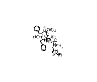 CC(C)c1nc(CN(C)C(=O)N[C@H](C(=O)N[C@@H](Cc2ccccc2)[C@@H](O)C[C@H](Cc2ccccc2)NC(=O)OC(C)(C)C)C(C)C)cs1